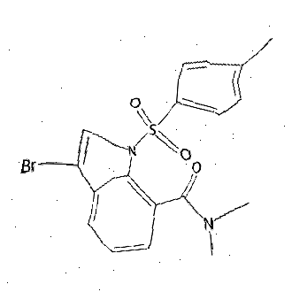 Cc1ccc(S(=O)(=O)n2cc(Br)c3cccc(C(=O)N(C)C)c32)cc1